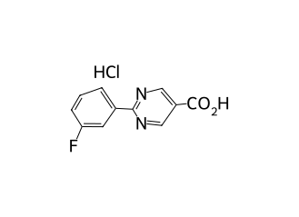 Cl.O=C(O)c1cnc(-c2cccc(F)c2)nc1